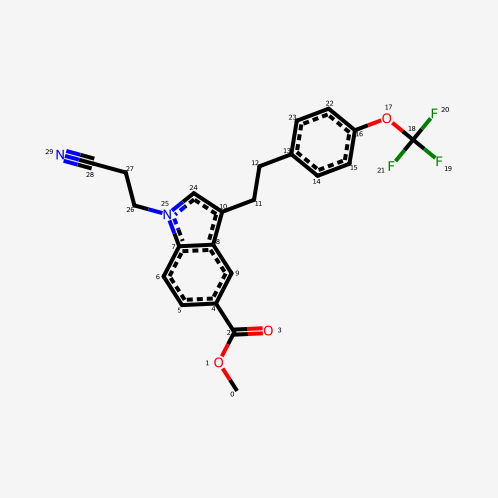 COC(=O)c1ccc2c(c1)c(CCc1ccc(OC(F)(F)F)cc1)cn2CCC#N